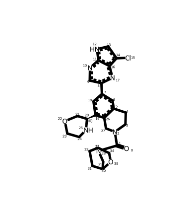 O=C(N1CCc2cc(-c3cnc4[nH]cc(Cl)c4n3)cc([C@@H]3COCCN3)c2C1)N1CC2CCC1CO2